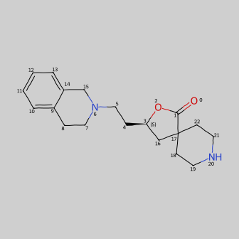 O=C1O[C@H](CCN2CCc3ccccc3C2)CC12CCNCC2